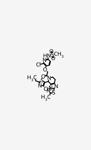 CCc1nc(C)c(C2c3c(nc4sc(C)nn34)CCN2C(=O)COc2ccc(NS(C)(=O)=O)nc2Cl)s1